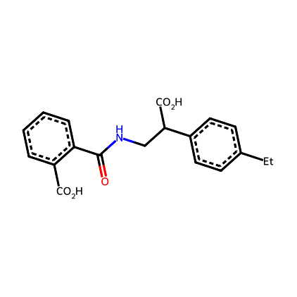 CCc1ccc(C(CNC(=O)c2ccccc2C(=O)O)C(=O)O)cc1